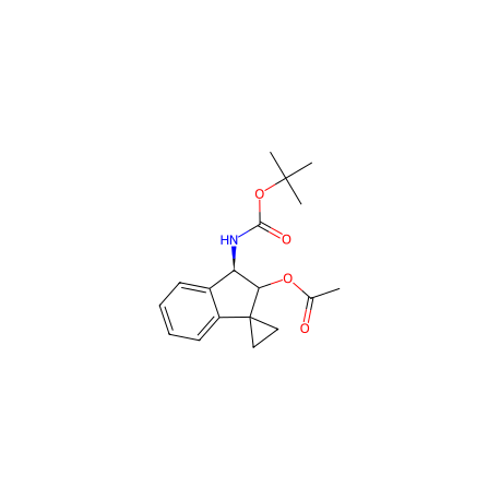 CC(=O)OC1[C@H](NC(=O)OC(C)(C)C)c2ccccc2C12CC2